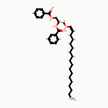 CCCCCCCCCCCCCCCC/C=C\OC[C@@H](COC(=O)c1ccccc1)OC(=O)c1ccccc1